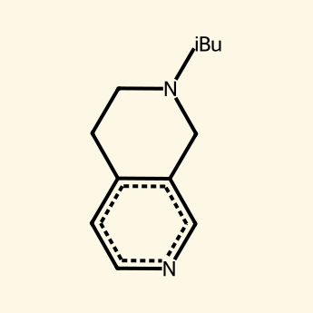 CCC(C)N1CCc2ccncc2C1